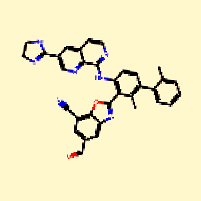 Cc1ccccc1-c1ccc(Nc2nccc3cc(C4=NCCN4)cnc23)c(-c2nc3cc(C=O)cc(C#N)c3o2)c1C